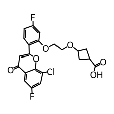 O=C(O)C1CC(OCCOc2cc(F)ccc2-c2cc(=O)c3cc(F)cc(Cl)c3o2)C1